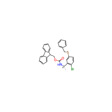 C[C@H](NC(=O)OCC1c2ccccc2-c2ccccc21)c1cc(SCc2ccccc2)ccc1Br